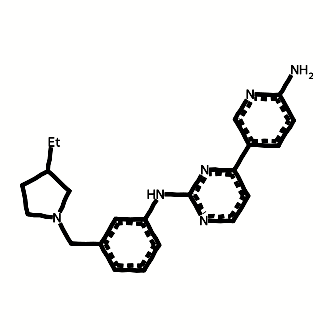 CCC1CCN(Cc2cccc(Nc3nccc(-c4ccc(N)nc4)n3)c2)C1